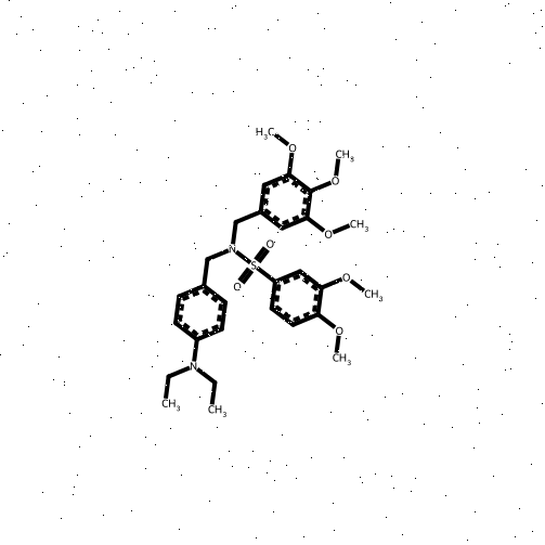 CCN(CC)c1ccc(CN(Cc2cc(OC)c(OC)c(OC)c2)S(=O)(=O)c2ccc(OC)c(OC)c2)cc1